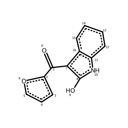 O=C(c1ccco1)c1c(O)[nH]c2ccccc12